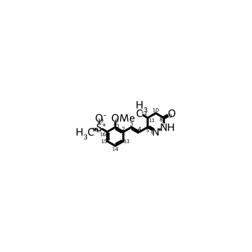 COc1c(C=CC2=NNC(=O)CC2C)cccc1[S+](C)[O-]